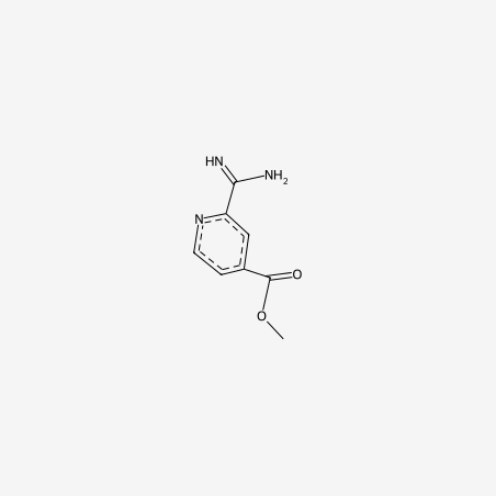 COC(=O)c1ccnc(C(=N)N)c1